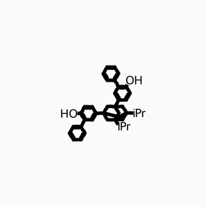 CC(C)C12CC3(c4ccc(O)c(-c5ccccc5)c4)CC(c4ccc(O)c(-c5ccccc5)c4)(C1)CC(C(C)C)(C3)C2